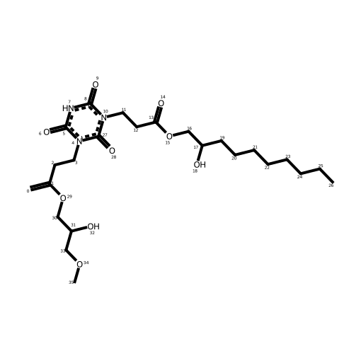 C=C(CCn1c(=O)[nH]c(=O)n(CCC(=O)OCC(O)CCCCCCCC)c1=O)OCC(O)COC